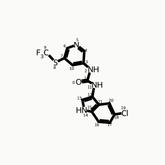 O=C(Nc1cncc(SC(F)(F)F)c1)Nc1c[nH]c2ccc(Cl)cc12